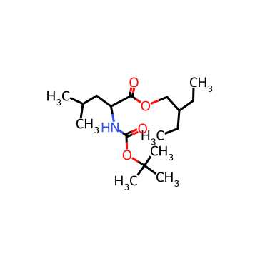 CCC(CC)COC(=O)C(CC(C)C)NC(=O)OC(C)(C)C